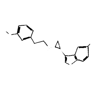 COc1cccc(CCN[C@@H]2C[C@H]2c2c[nH]c3ccc(F)cc23)c1